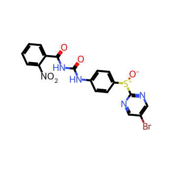 O=C(NC(=O)c1ccccc1[N+](=O)[O-])Nc1ccc([S+]([O-])c2ncc(Br)cn2)cc1